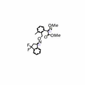 CO/N=C(/C(=O)OC)c1cccc(C)c1CO/N=C1\CC(F)(F)c2ccccc21